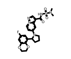 CN(C)S(=O)(=O)NC(=O)c1cnn2ccc(N3CCCC3c3cc(F)cc4c3OCCO4)cc12